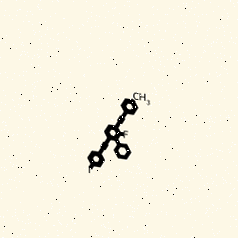 Cc1ccc(C#Cc2ccc(C#Cc3ccc(I)cc3)c(C3CCCCC3)c2F)cc1